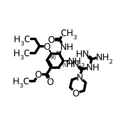 CCOC(=O)C1=C[C@@H](OC(CC)CC)[C@H](NC(C)=O)[C@@H](N)C1.N=C(N)NC(=N)N1CCOCC1